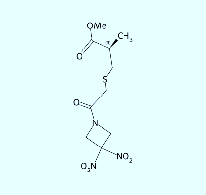 COC(=O)[C@@H](C)CSCC(=O)N1CC([N+](=O)[O-])([N+](=O)[O-])C1